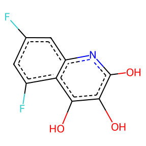 Oc1nc2cc(F)cc(F)c2c(O)c1O